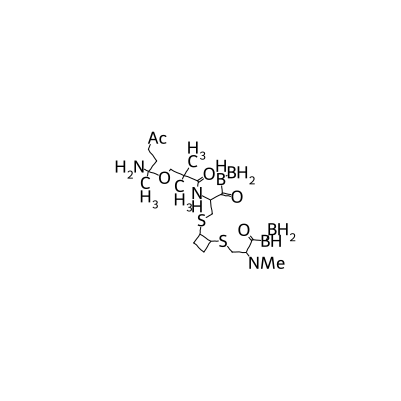 BBC(=O)C(CSC1CCC1SCC(NC(=O)C(C)(C)COC(C)(N)CCC(C)=O)C(=O)BB)NC